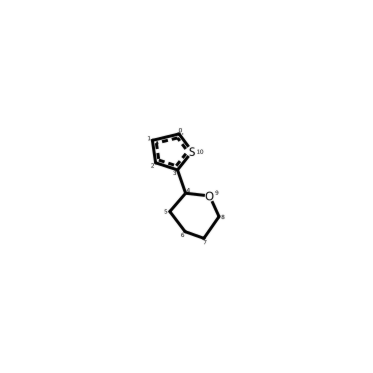 [c]1ccc(C2CCCCO2)s1